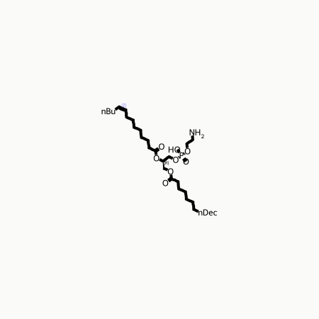 CCCC/C=C\CCCCCCCC(=O)O[C@H](COC(=O)CCCCCCCCCCCCCCCC)COP(=O)(O)OCCN